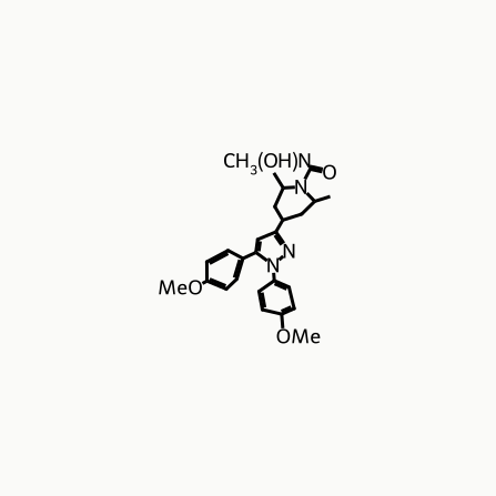 COc1ccc(-c2cc(C3CC(C)N(C(=O)N(C)O)C(C)C3)nn2-c2ccc(OC)cc2)cc1